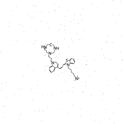 C[N+](C)(C)CCCCCN1/C(=C\C=C/c2cc[n+](CCCN3CCNCCCNCC3)c3ccccc23)Sc2ccccc21